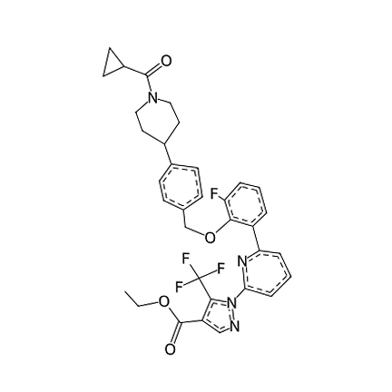 CCOC(=O)c1cnn(-c2cccc(-c3cccc(F)c3OCc3ccc(C4CCN(C(=O)C5CC5)CC4)cc3)n2)c1C(F)(F)F